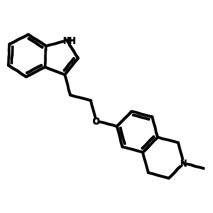 CN1CCc2cc(OCCc3c[nH]c4ccccc34)ccc2C1